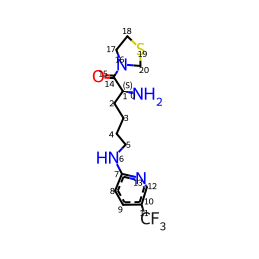 N[C@@H](CCCCNc1ccc(C(F)(F)F)cn1)C(=O)N1CCSC1